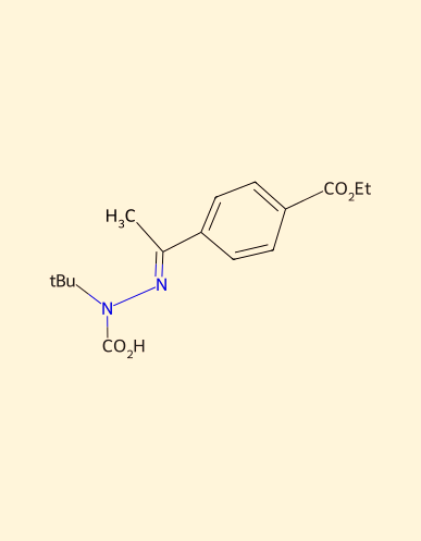 CCOC(=O)c1ccc(C(C)=NN(C(=O)O)C(C)(C)C)cc1